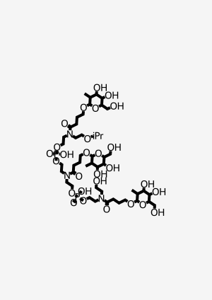 CC(C)OCCN(CCOP(=O)(O)OCCN(CCOP(=O)(O)OCCN(CCO)C(=O)CCCOC1OC(CO)C(O)C(O)C1C)C(=O)CCCOC1OC(CO)C(O)C(O)C1C)C(=O)CCCOC1OC(CO)C(O)C(O)C1C